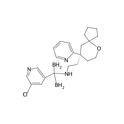 BC(B)(NCC[C@@]1(c2ccccn2)CCOC2(CCCC2)C1)c1cncc(Cl)c1